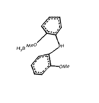 B.COc1ccccc1Pc1ccccc1OC